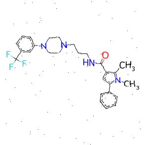 Cc1c(C(=O)NCCCN2CCN(c3cccc(C(F)(F)F)c3)CC2)cc(-c2ccccc2)n1C